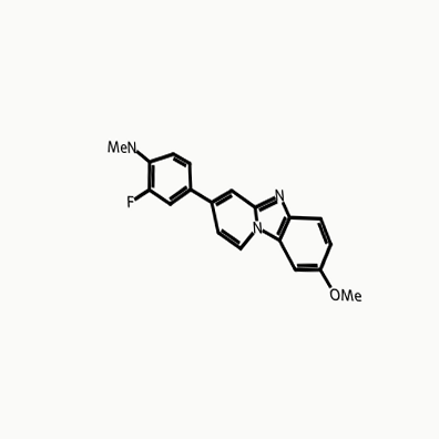 CNc1ccc(-c2ccn3c(c2)nc2ccc(OC)cc23)cc1F